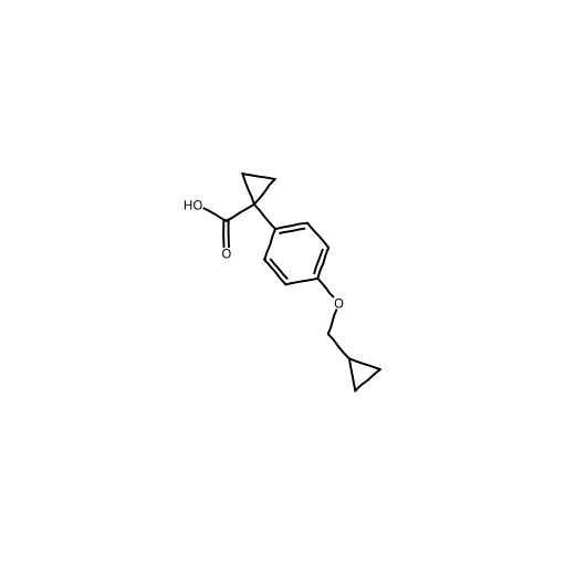 O=C(O)C1(c2ccc(OCC3CC3)cc2)CC1